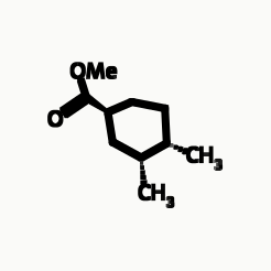 COC(=O)[C@H]1CC[C@H](C)[C@H](C)C1